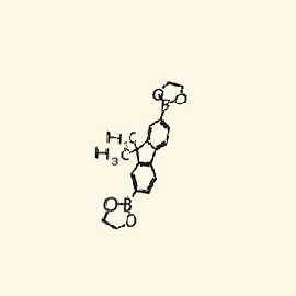 CC1(C)c2cc(B3OCCO3)ccc2-c2ccc(B3OCCO3)cc21